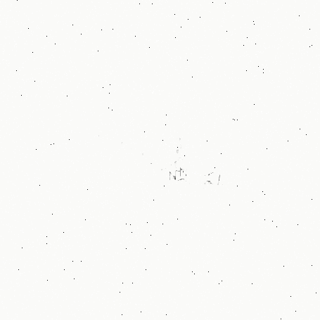 CCCCCCCCCCCCCCn1cc(CCCc2ccccc2)nc1CCCCCC